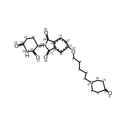 O=C1CCN(CCCCCOc2ccc3c(c2)C(=O)N(C2CCC(=O)NC2=O)C3=O)CC1